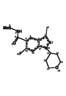 CSNC(=O)c1cc2c(C)nn(C3CCOCC3)c2cc1F